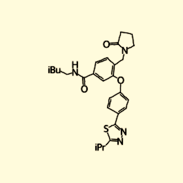 CCC(C)CNC(=O)c1ccc(CN2CCCC2=O)c(Oc2ccc(-c3nnc(C(C)C)s3)cc2)c1